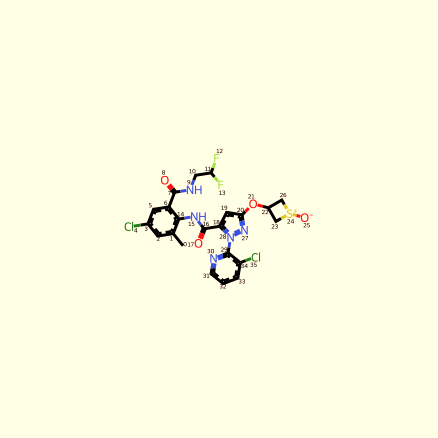 Cc1cc(Cl)cc(C(=O)NCC(F)F)c1NC(=O)c1cc(OC2C[S+]([O-])C2)nn1-c1ncccc1Cl